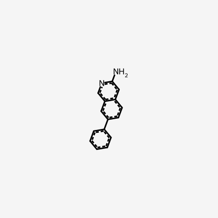 Nc1cc2ccc(-c3ccccc3)cc2cn1